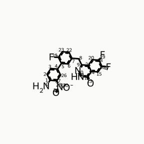 Nc1ccc(-c2cc(Cc3n[nH]c(=O)c4cc(F)c(F)cc34)ccc2F)cc1[N+](=O)[O-]